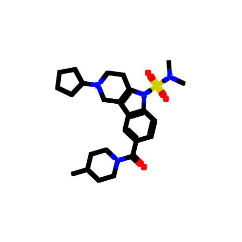 CC1CCN(C(=O)c2ccc3c(c2)c2c(n3S(=O)(=O)N(C)C)CCN(C3CCCC3)C2)CC1